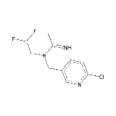 CC(=N)N(Cc1ccc(Cl)nc1)CC(F)F